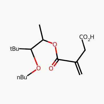 C=C(CC(=O)O)C(=O)OC(C)C(OCCCC)C(C)(C)C